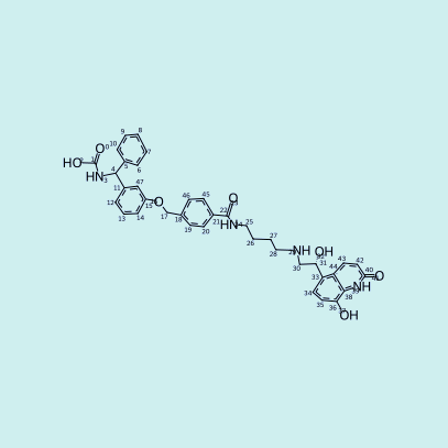 O=C(O)NC(c1ccccc1)c1cccc(OCc2ccc(C(=O)NCCCCNC[C@H](O)c3ccc(O)c4[nH]c(=O)ccc34)cc2)c1